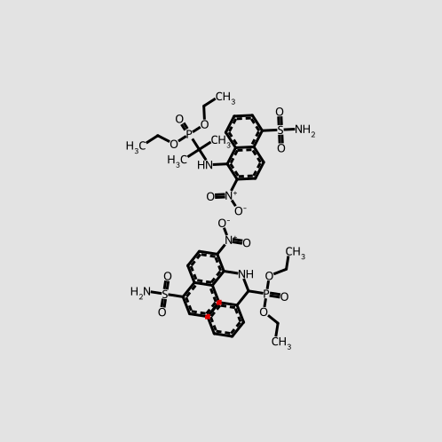 CCOP(=O)(OCC)C(C)(C)Nc1c([N+](=O)[O-])ccc2c(S(N)(=O)=O)cccc12.CCOP(=O)(OCC)C(Nc1c([N+](=O)[O-])ccc2c(S(N)(=O)=O)cccc12)c1ccccc1